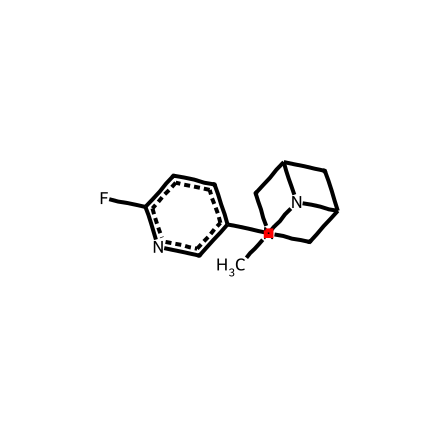 CN1CC2CC(C1)N2Cc1ccc(F)nc1